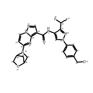 O=C(Nc1cn(-c2ccc(CCl)cc2)nc1C(F)F)c1cnn2ccc(N3CC4CC3CO4)nc12